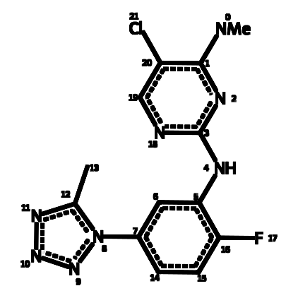 CNc1nc(Nc2cc(-n3nnnc3C)ccc2F)ncc1Cl